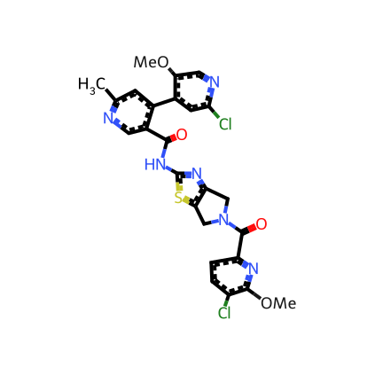 COc1cnc(Cl)cc1-c1cc(C)ncc1C(=O)Nc1nc2c(s1)CN(C(=O)c1ccc(Cl)c(OC)n1)C2